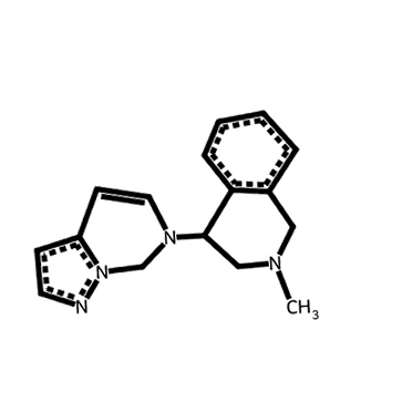 CN1Cc2ccccc2C(N2C=Cc3ccnn3C2)C1